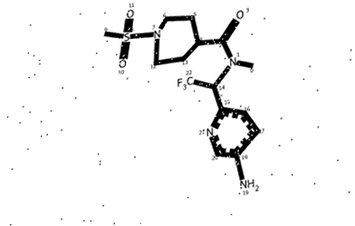 CN(C(=O)C1CCN(S(C)(=O)=O)CC1)C(c1ccc(N)cn1)C(F)(F)F